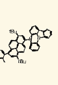 Cc1ccccc1-c1cc(C(C)(C)C)c2ccc3c(N4c5ccccc5B5c6ccccc6-c6cccc4c65)cc(C(C)(C)C)c4ccc1c2c34